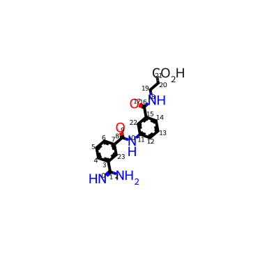 N=C(N)c1cccc(C(=O)Nc2cccc(C(=O)NCCC(=O)O)c2)c1